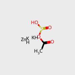 CC(=O)OS(=O)O.[KH].[KH].[Zn]